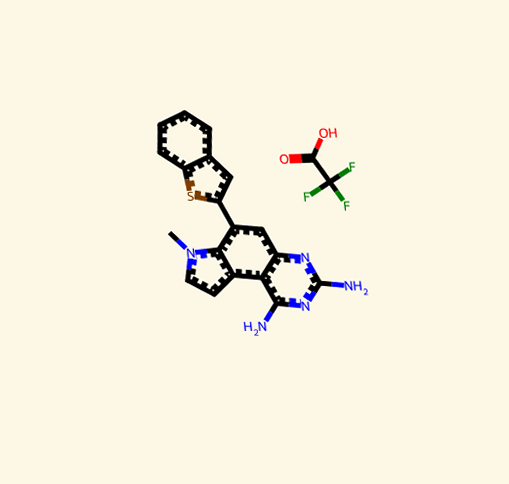 Cn1ccc2c3c(N)nc(N)nc3cc(-c3cc4ccccc4s3)c21.O=C(O)C(F)(F)F